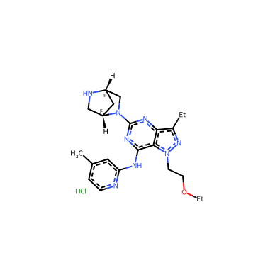 CCOCCn1nc(CC)c2nc(N3C[C@@H]4C[C@H]3CN4)nc(Nc3cc(C)ccn3)c21.Cl